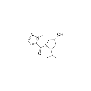 CC(C)C1C[C@@H](O)CN1C(=O)c1ccnn1C